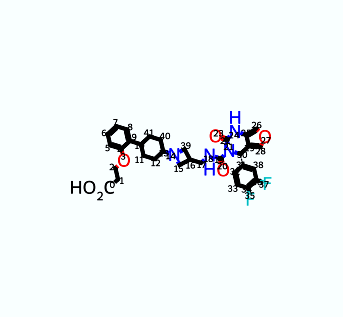 O=C(O)CCOc1ccccc1C1CCC(N2CC(CNC(=O)N3C(=O)Nc4cocc4[C@@H]3c3ccc(F)c(F)c3)C2)CC1